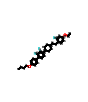 CCCCOc1ccc(-c2ccc(C3CCC(CCc4ccc(OCC)cc4F)CC3)c(F)c2F)cc1